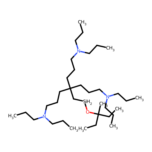 CCCN(CCC)CCCC(CCCN(CCC)CCC)(CCCN(CCC)CCC)C[SiH2]OC(C)(CC)CC